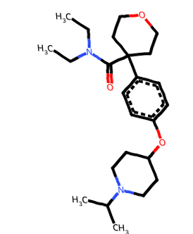 CCN(CC)C(=O)C1(c2ccc(OC3CCN(C(C)C)CC3)cc2)CCOCC1